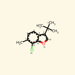 Cc1ccc2c(C(C)(C)C)coc2c1Cl